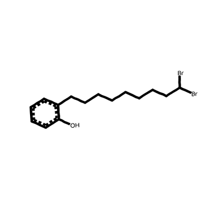 Oc1ccccc1CCCCCCCCC(Br)Br